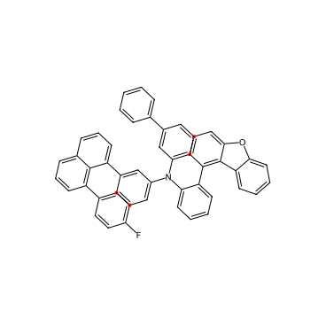 Fc1ccc(-c2cccc3cccc(-c4cccc(N(c5cccc(-c6ccccc6)c5)c5ccccc5-c5cccc6oc7ccccc7c56)c4)c23)cc1